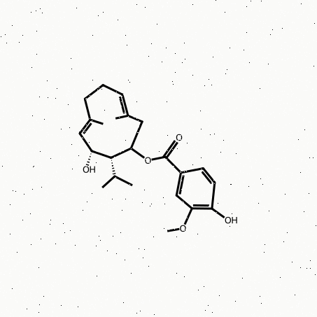 COc1cc(C(=O)OC2C/C(C)=C/CC/C(C)=C/[C@@H](O)[C@H]2C(C)C)ccc1O